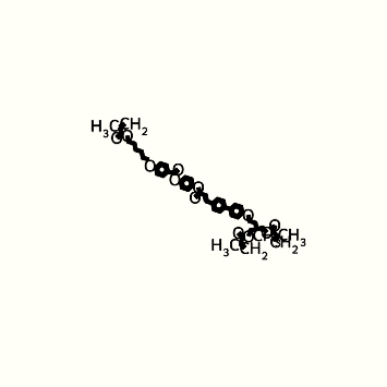 C=C(C)C(=O)OCCCCCCOc1ccc(C(=O)Oc2ccc(OC(=O)/C=C/c3ccc(-c4ccc(OCCC(C)(COC(=O)C(=C)C)COC(=O)C(=C)C)cc4)cc3)cc2)cc1